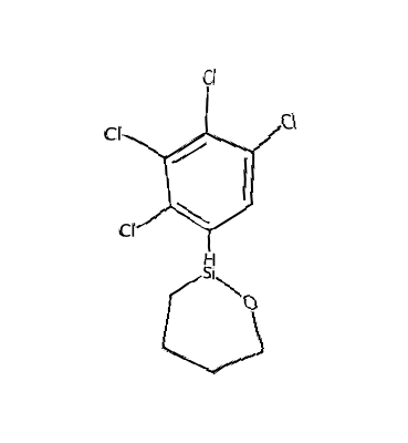 Clc1cc([SiH]2CCCCO2)c(Cl)c(Cl)c1Cl